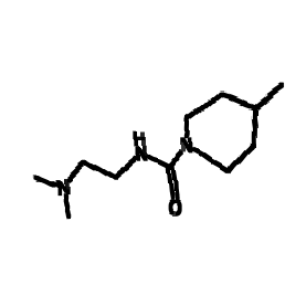 CC1CCN(C(=O)NCCN(C)C)CC1